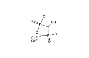 O=P([O-])([O-])C(O)P(=O)([O-])[O-].[Cd+2].[Cd+2]